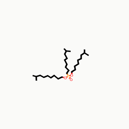 CC(C)CCCCCCCOP(=O)(CCCCCCCC(C)C)OCCCCCCCC(C)C